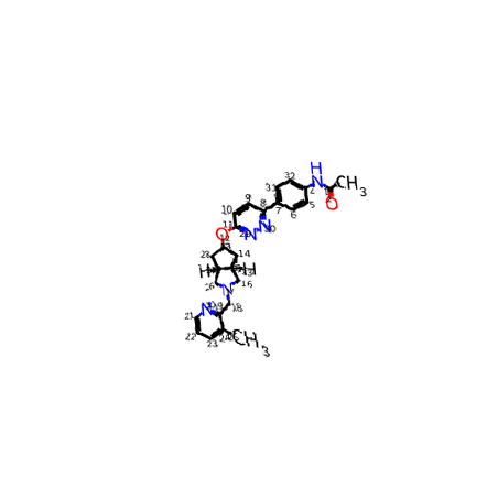 CC(=O)Nc1ccc(-c2ccc(O[C@H]3C[C@@H]4CN(Cc5ncccc5C)C[C@@H]4C3)nn2)cc1